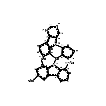 CCCCc1cc(CCCC)c2c(c1)c1cccc(CCCC)c1n2B1c2ccccc2-n2c3cncnc3c3cccc1c32